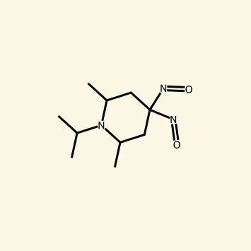 CC(C)N1C(C)CC(N=O)(N=O)CC1C